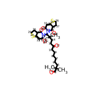 CC(C)(C=O)CCCCCCC(=O)CCC(C)(C)C(N1C(=O)C=C2SCCC2C1=O)N1C(=O)C=C2SCCC2C1=O